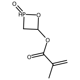 C=C(C)C(=O)OC1C[PH](=O)O1